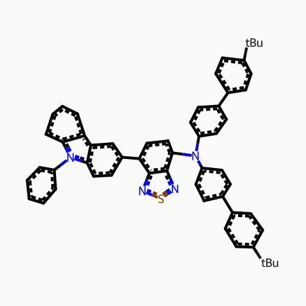 CC(C)(C)c1ccc(-c2ccc(N(c3ccc(-c4ccc(C(C)(C)C)cc4)cc3)c3ccc(-c4ccc5c(c4)c4ccccc4n5-c4ccccc4)c4nsnc34)cc2)cc1